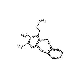 Cc1cc2cc3ccccc3cc2c(CCN)c1C